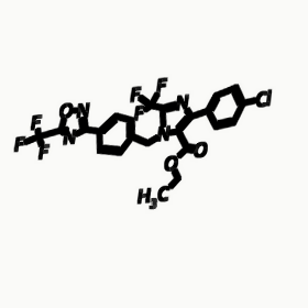 CCOC(=O)c1c(-c2ccc(Cl)cc2)nc(C(F)(F)F)n1Cc1ccc(-c2noc(C(F)(F)F)n2)cc1